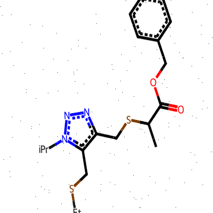 CCSCc1c(CSC(C)C(=O)OCc2ccccc2)nnn1C(C)C